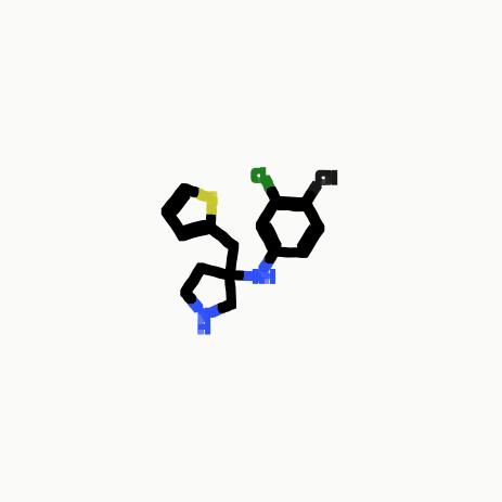 N#Cc1ccc(NC2(Cc3cccs3)CCNC2)cc1Cl